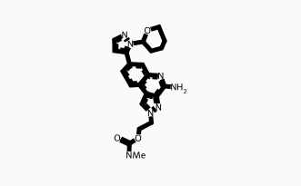 CNC(=O)OCCn1cc2c(n1)c(N)nc1cc(-c3ccnn3C3CCCCO3)ccc12